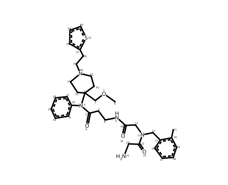 COCC1(N(C(=O)CCNC(=O)CN(Cc2ccccc2C)C(=O)CN)c2ccccc2)CCN(CCc2cccs2)CC1